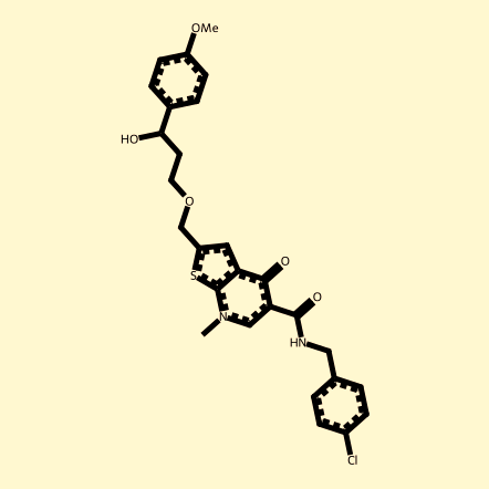 COc1ccc(C(O)CCOCc2cc3c(=O)c(C(=O)NCc4ccc(Cl)cc4)cn(C)c3s2)cc1